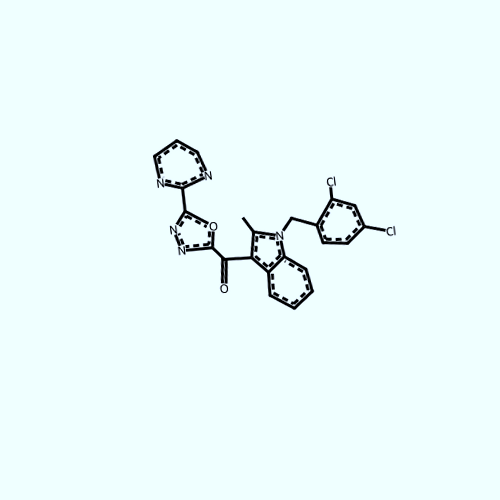 Cc1c(C(=O)c2nnc(-c3ncccn3)o2)c2ccccc2n1Cc1ccc(Cl)cc1Cl